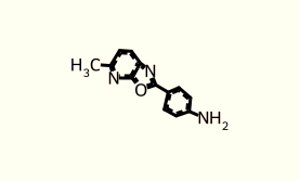 Cc1ccc2nc(-c3ccc(N)cc3)oc2n1